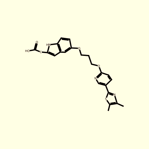 Cc1nc(-c2ccc(OCCCOc3ccc4[nH]c(CC(=O)O)cc4c3)nc2)sc1C